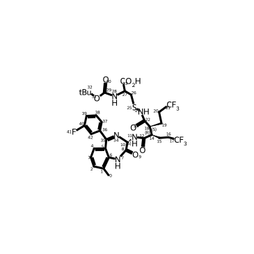 Cc1cccc2c1NC(=O)[C@@H](NC(=O)[C@H](CCC(F)(F)F)[C@H](CCC(F)(F)F)C(=O)NSCC(NC(=O)OC(C)(C)C)C(=O)O)N=C2c1cccc(F)c1